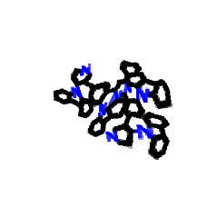 c1ccc(-c2cc(-c3cc(-c4cnccc4-n4c5ccccc5c5ccccc54)ccc3-n3c4ccccc4c4ccccc43)nc(-c3cc(-c4cnccc4-n4c5ccccc5c5ccccc54)ccc3-n3c4ccccc4c4ccccc43)n2)cc1